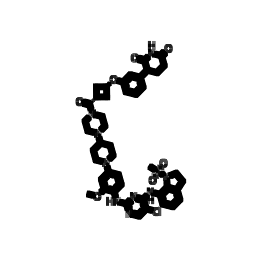 COc1cc(N2CCC(N3CCN(C(=O)[C@H]4C[C@H](Oc5cccc(C6CCC(=O)NC6=O)c5)C4)CC3)CC2)ccc1Nc1ncc(Cl)c(Nc2cccc3c2N(S(C)(=O)=O)CC3)n1